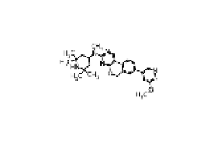 COc1cc(-c2ccc3c(c2)COc2nc(N(C)C4CC(C)(C)NC(C)(C)C4)ncc2-3)cnn1